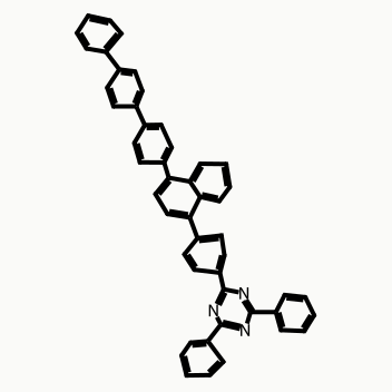 c1ccc(-c2ccc(-c3ccc(-c4ccc(-c5ccc(-c6nc(-c7ccccc7)nc(-c7ccccc7)n6)cc5)c5ccccc45)cc3)cc2)cc1